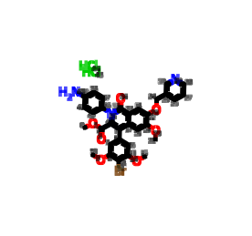 COC(=O)c1c(-c2cc(OC)c(Br)c(OC)c2)c2cc(OC)c(OCc3cccnc3)cc2c(=O)n1-c1ccc(N)cc1.Cl.Cl